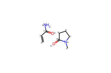 C=CC(N)=O.CN1CCCC1=O